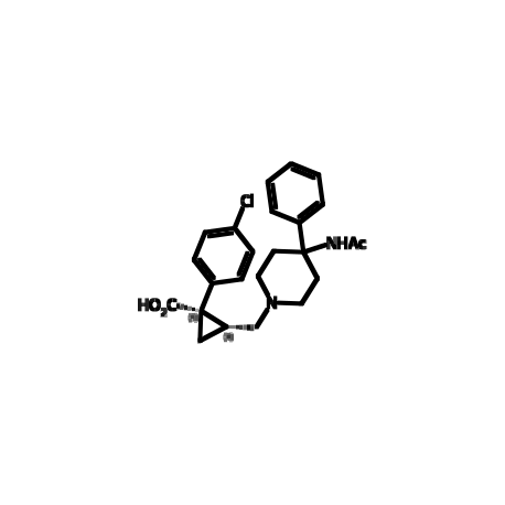 CC(=O)NC1(c2ccccc2)CCN(C[C@@H]2C[C@@]2(C(=O)O)c2ccc(Cl)cc2)CC1